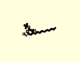 CCCCCCCCCCC(CN)NC(=O)OC(C)(C)C